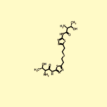 C[C@@H](O)[C@H](N)C(=O)Nc1nnc(CCSCCc2nnc(NC(=O)[C@@H](N)[C@@H](C)O)s2)s1